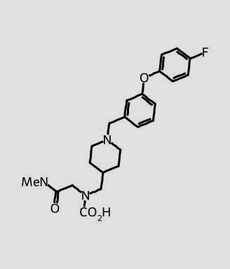 CNC(=O)CN(CC1CCN(Cc2cccc(Oc3ccc(F)cc3)c2)CC1)C(=O)O